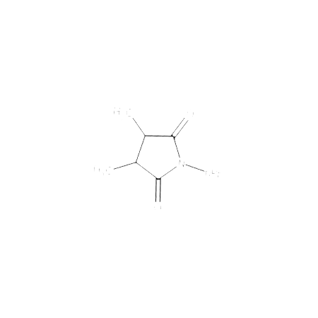 CCCN1C(=O)C(C)C(C)C1=O